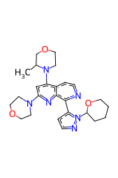 CC1COCCN1c1cc(N2CCOCC2)nc2c(-c3ccnn3C3CCCCO3)nccc12